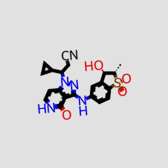 C[C@H]1[C@@H](O)c2cc(Nc3nn(C(CC#N)C4CC4)c4cc[nH]c(=O)c34)ccc2S1(=O)=O